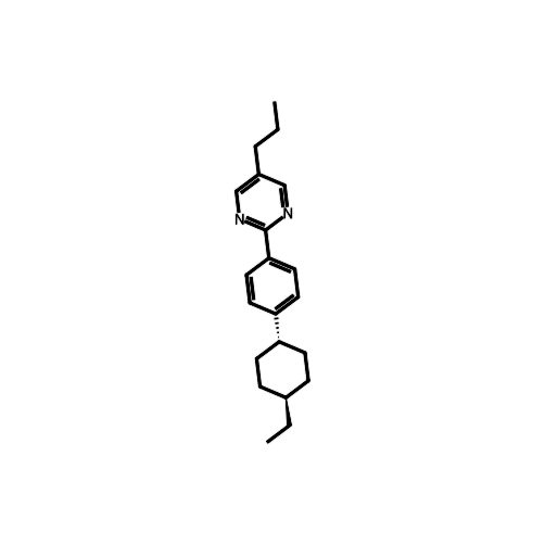 CCCc1cnc(-c2ccc([C@H]3CC[C@H](CC)CC3)cc2)nc1